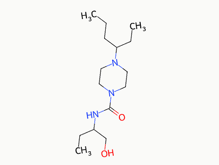 CCCC(CC)N1CCN(C(=O)NC(CC)CO)CC1